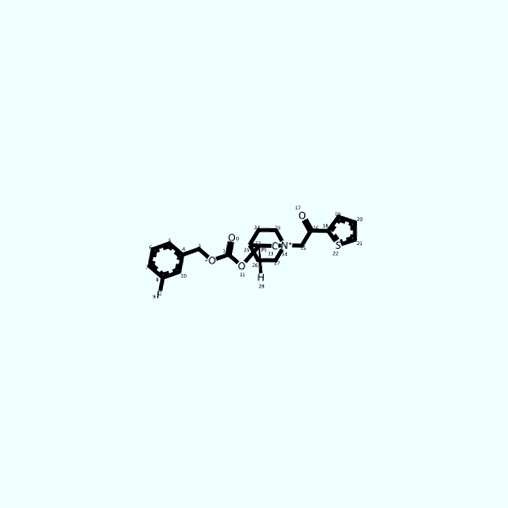 O=C(OCc1cccc(F)c1)O[C@H]1C[N+]2(CC(=O)c3cccs3)CCC1CC2